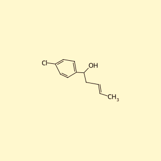 CC=CCC(O)c1ccc(Cl)cc1